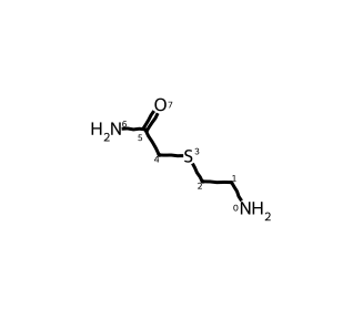 NCCSCC(N)=O